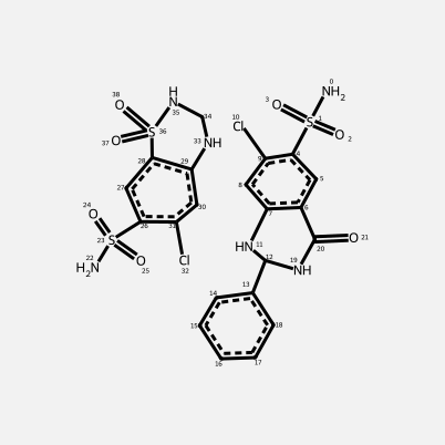 NS(=O)(=O)c1cc2c(cc1Cl)NC(c1ccccc1)NC2=O.NS(=O)(=O)c1cc2c(cc1Cl)NCNS2(=O)=O